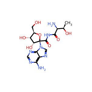 C[C@@H](O)[C@H](N)C(=O)NC(=O)[C@@]1(n2cnc3c(N)ncnc32)O[C@H](CO)[C@@H](O)[C@H]1O